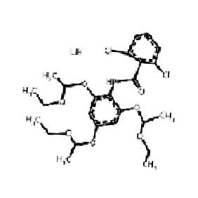 CCOC(C)Oc1cc(OC(C)OCC)c(PC(=O)c2c(Cl)cccc2Cl)c(OC(C)OCC)c1.[LiH]